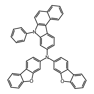 c1ccc(-n2c3cc(N(c4ccc5c(c4)oc4ccccc45)c4ccc5c(c4)oc4ccccc45)ccc3c3c4ccccc4ccc32)cc1